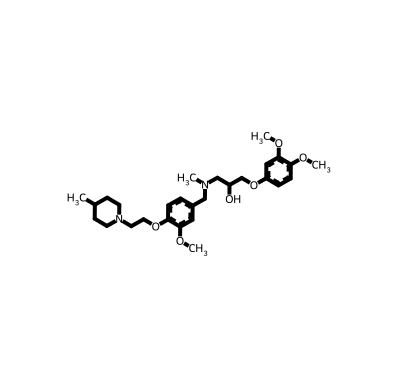 COc1ccc(OCC(O)CN(C)Cc2ccc(OCCN3CCC(C)CC3)c(OC)c2)cc1OC